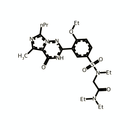 CCCc1nc(C)c2c(=O)[nH]c(-c3cc(S(=O)(=O)N(CC)CC(=O)N(CC)CC)ccc3OCC)nn12